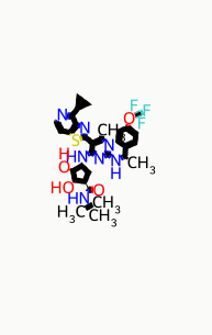 Cc1nc(N[C@H](C)c2ccc(OC(F)(F)F)cc2)nc(N[C@@H]2C[C@H](C(=O)NC(C)(C)C)[C@@H](O)[C@H]2O)c1-c1nc2c(C3CC3)nccc2s1